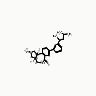 CC(C)CC(O)c1cccc(-c2ccc3c(c2)C(=O)NC[C@H]2CN(C)C[C@H]32)c1